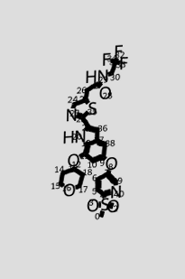 CS(=O)(=O)c1ccc(Oc2cc(OC3CCOCC3)c3[nH]c(C4=NCC(CC(=O)NCC(F)(F)F)S4)cc3c2)cn1